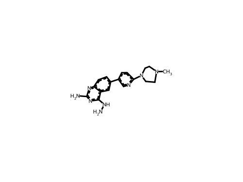 CN1CCN(c2ccc(-c3ccc4nc(N)nc(NN)c4c3)cn2)CC1